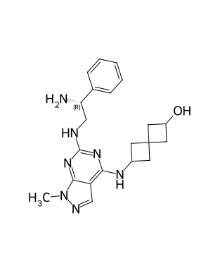 Cn1ncc2c(NC3CC4(CC(O)C4)C3)nc(NC[C@H](N)c3ccccc3)nc21